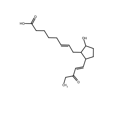 CCC(=O)C=CC1CCC(O)C1CC=CCCCCC(=O)O